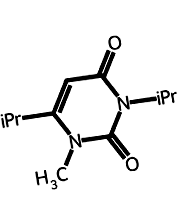 CC(C)c1cc(=O)n(C(C)C)c(=O)n1C